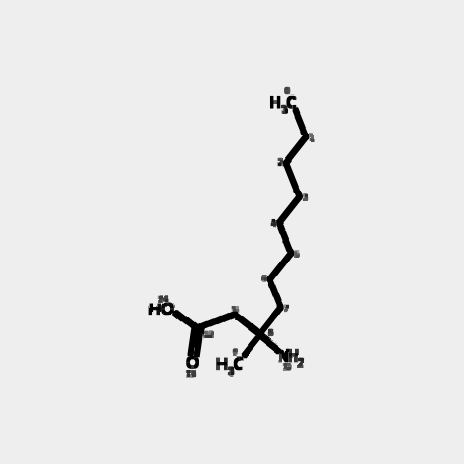 CCCCCCCCC(C)(N)CC(=O)O